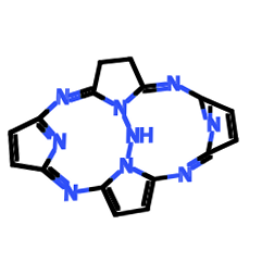 C1=C/C2=N/c3ccc4n3NN3/C(=N\C1=N2)CC/C3=N/C1=NC(=N\4)/C=C1